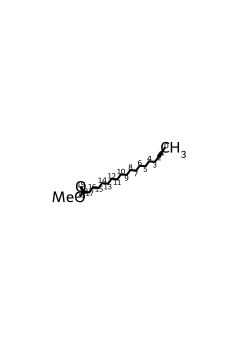 CC#CCCCCCCCCCCCCCCCC(=O)OC